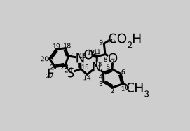 Cc1ccc2c(c1)OC(CC(=O)O)C(=O)N2Cc1nc2cccc(F)c2s1